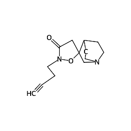 C#CCCN1OC2(CC1=O)CN1CCC2CC1